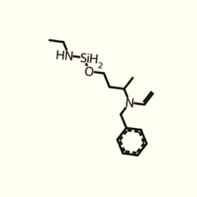 C=CN(Cc1ccccc1)C(C)CCO[SiH2]NCC